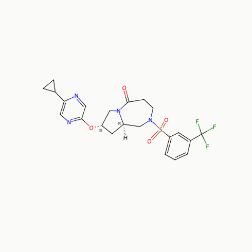 O=C1CCN(S(=O)(=O)c2cccc(C(F)(F)F)c2)C[C@H]2C[C@H](Oc3cnc(C4CC4)cn3)CN12